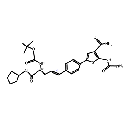 CC(C)(C)OC(=O)N[C@@H](C/C=C/c1ccc(-c2cc(C(N)=O)c(NC(N)=O)s2)cc1)C(=O)OC1CCCC1